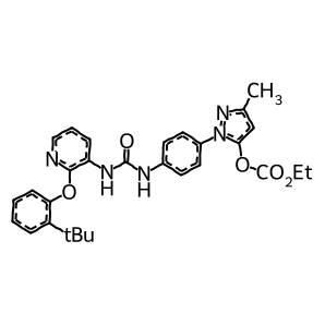 CCOC(=O)Oc1cc(C)nn1-c1ccc(NC(=O)Nc2cccnc2Oc2ccccc2C(C)(C)C)cc1